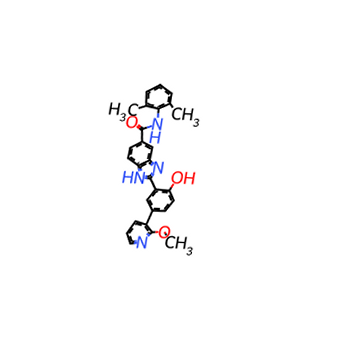 COc1ncccc1-c1ccc(O)c(-c2nc3cc(C(=O)Nc4c(C)cccc4C)ccc3[nH]2)c1